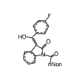 CCCCCCCCCC(=O)N1C(=O)C(=C(O)c2ccc(F)cc2)c2ccccc21